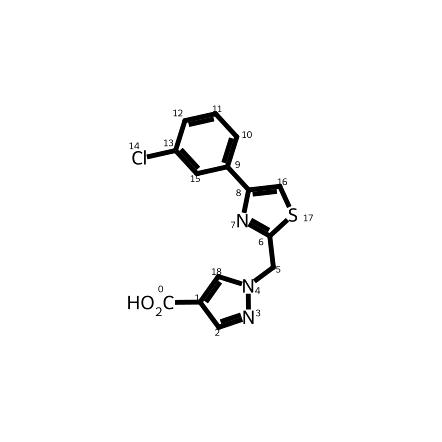 O=C(O)c1cnn(Cc2nc(-c3cccc(Cl)c3)cs2)c1